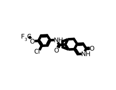 O=C(Nc1ccc(OC(F)(F)F)c(Cl)c1)C1C2CCC1c1c[nH]c(=O)cc1C2